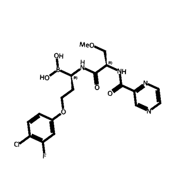 COC[C@@H](NC(=O)c1cnccn1)C(=O)N[C@@H](CCOc1ccc(Cl)c(F)c1)B(O)O